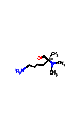 CN(C)[C@](C)([C]=O)CCCCN